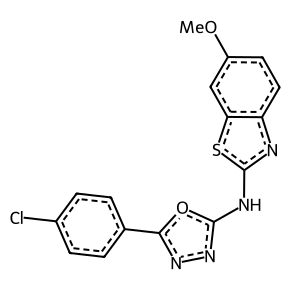 COc1ccc2nc(Nc3nnc(-c4ccc(Cl)cc4)o3)sc2c1